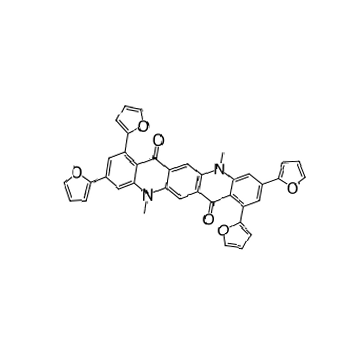 Cn1c2cc3c(=O)c4c(-c5ccco5)cc(-c5ccco5)cc4n(C)c3cc2c(=O)c2c(-c3ccco3)cc(-c3ccco3)cc21